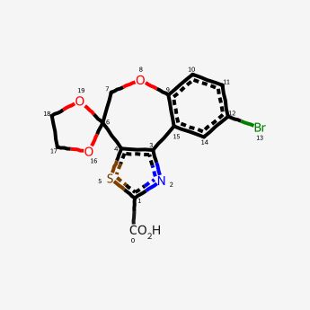 O=C(O)c1nc2c(s1)C1(COc3ccc(Br)cc3-2)OCCO1